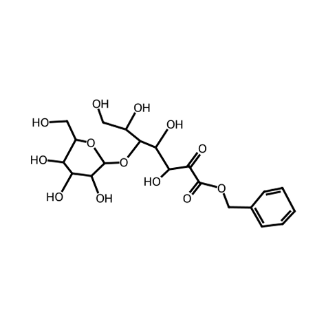 O=C(OCc1ccccc1)C(=O)C(O)C(O)C(OC1OC(CO)C(O)C(O)C1O)C(O)CO